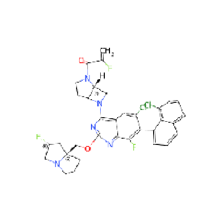 C=C(F)C(=O)N1CCC2[C@H]1CN2c1nc(OC[C@@]23CCCN2C[C@H](F)C3)nc2c(F)c(-c3cccc4cccc(Cl)c34)c(Cl)cc12